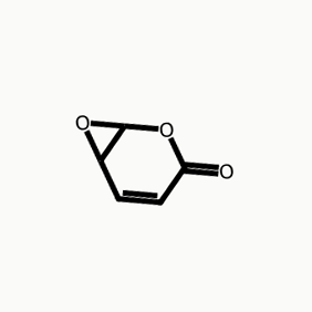 O=C1C=CC2OC2O1